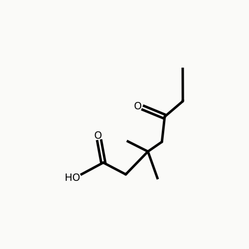 CCC(=O)CC(C)(C)CC(=O)O